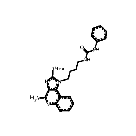 CCCCCCc1nc2c(N)nc3ccccc3c2n1CCCCNC(=O)Nc1ccccc1